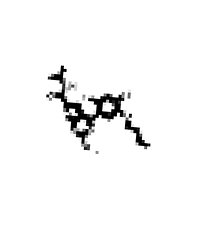 CCCCOc1cc(-c2nc(N)nc3sc(C(=O)NC(C)C)cc23)c(Cl)cc1Cl